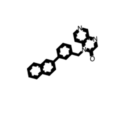 O=c1cnc2cnccc2n1Cc1cccc(-c2ccc3ccccc3c2)c1